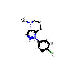 CC(=O)N1CCCc2c1cnn2-c1ccc(F)cc1